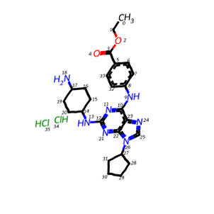 CCOC(=O)c1ccc(Nc2nc(NC3CCC(N)CC3)nc3c2ncn3C2CCCC2)cc1.Cl.Cl